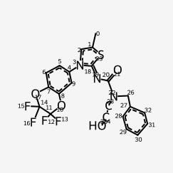 Cc1cn(-c2ccc3c(c2)OC(F)(F)C(F)(F)O3)c(=NC(=O)N(CCO)Cc2ccccc2)s1